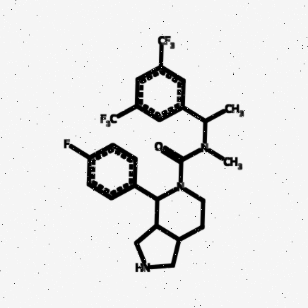 CC(c1cc(C(F)(F)F)cc(C(F)(F)F)c1)N(C)C(=O)N1CCC2CNCC2C1c1ccc(F)cc1